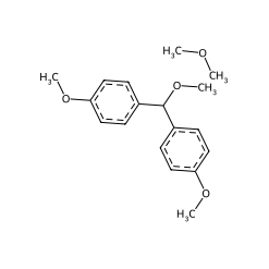 COC.COc1ccc(C(OC)c2ccc(OC)cc2)cc1